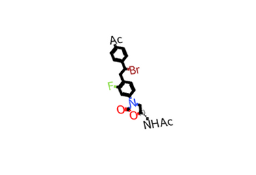 CC(=O)NC[C@H]1CN(c2ccc(CC(Br)c3ccc(C(C)=O)cc3)c(F)c2)C(=O)O1